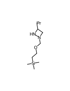 CC(C)C1CN(COCC[Si](C)(C)C)N1